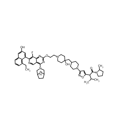 CCc1cccc2cc(O)cc(-c3ncc4c(N5CC6CCC(C5)N6)nc(OCCN5CCC(O)(CC6CCN(c7cc(C(C(=O)N8CCCC8C)C(C)C)on7)CC6)CC5)nc4c3F)c12